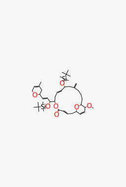 C=C1CCCC2OC(C=CC2OC)C/C=C/C(=O)OC(C(C=CC2CC(C)=CCO2)O[Si](C)(C)C(C)(C)C)C/C=C/C(O[Si](C)(C)C(C)(C)C)C1